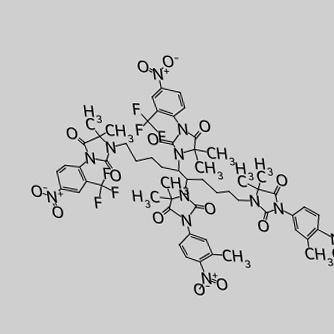 Cc1cc(N2C(=O)N(CCCCC(C(CCCCN3C(=O)N(c4ccc([N+](=O)[O-])cc4C(F)(F)F)C(=O)C3(C)C)N3C(=O)N(c4ccc([N+](=O)[O-])cc4C(F)(F)F)C(=O)C3(C)C)N3C(=O)N(c4ccc([N+](=O)[O-])c(C)c4)C(=O)C3(C)C)C(C)(C)C2=O)ccc1[N+](=O)[O-]